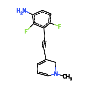 CN1C=CC=C(C#Cc2c(F)ccc(N)c2F)C1